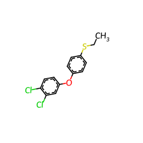 CCSc1ccc(Oc2ccc(Cl)c(Cl)c2)cc1